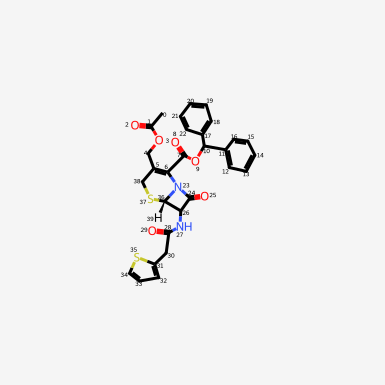 CC(=O)OCC1=C(C(=O)OC(c2ccccc2)c2ccccc2)N2C(=O)C(NC(=O)Cc3cccs3)[C@@H]2SC1